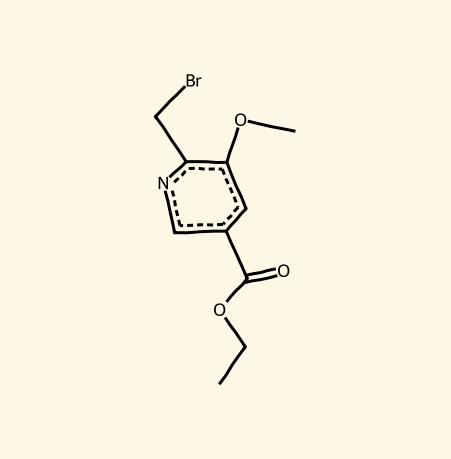 CCOC(=O)c1cnc(CBr)c(OC)c1